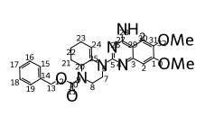 COc1cc2nc(N3CCN(C(=O)OCc4ccccc4)C4CCCC=C43)nc(N)c2cc1OC